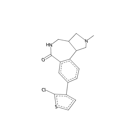 CN1CC2CNC(=O)c3cc(-c4ccsc4Cl)ccc3C2C1